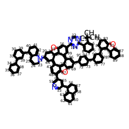 CC(C)(C)c1ccccc1-c1ncnc(-c2cc3oc4cc(N5CC=Cc6c(-c7cccc(-c8ccccc8)c7)cccc65)cc5c6ccc(-c7cncc(-c8cccc9ccccc89)c7)c7oc8cc(-c9ccc(-c%10cccc(-c%11cccc%12oc%13ccccc%13c%11%12)c%10)cc9)cc(c(c2)c3c45)c8c76)n1